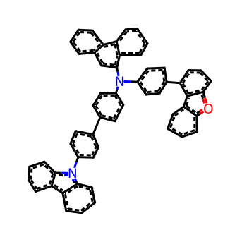 c1ccc2c(c1)cc(N(c1ccc(-c3ccc(-n4c5ccccc5c5ccccc54)cc3)cc1)c1ccc(-c3cccc4oc5ccccc5c34)cc1)c1ccccc12